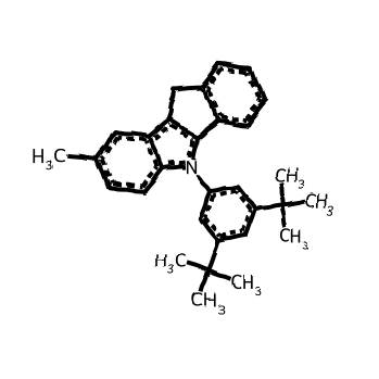 Cc1ccc2c(c1)c1c(n2-c2cc(C(C)(C)C)cc(C(C)(C)C)c2)-c2ccccc2C1